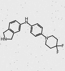 FC1(F)CCN(c2ccc(Nc3ccc4c(c3)CNC4)cc2)CC1